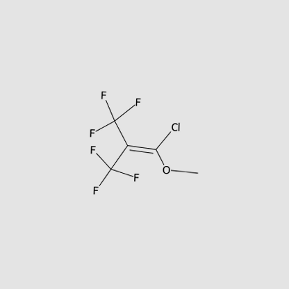 COC(Cl)=C(C(F)(F)F)C(F)(F)F